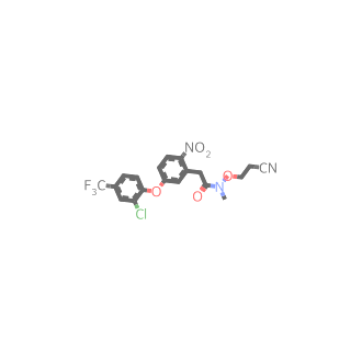 CN(OCCC#N)C(=O)Cc1cc(Oc2ccc(C(F)(F)F)cc2Cl)ccc1[N+](=O)[O-]